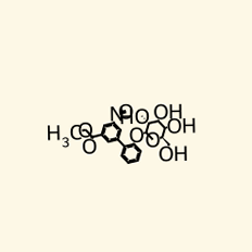 COC(=O)c1cc(N=O)cc(-c2ccccc2O[C@@H]2O[C@H](CO)[C@H](O)[C@H](O)[C@H]2O)c1